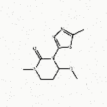 COC1CCN(C)C(=O)N1c1nnc(C)s1